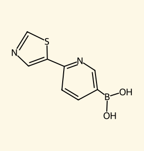 OB(O)c1ccc(-c2cncs2)nc1